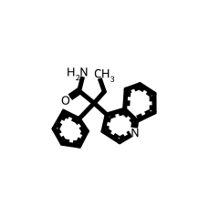 CCC(C(N)=O)(c1ccccc1)c1ccnc2ccccc12